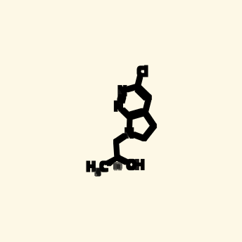 C[C@H](O)CN1CCc2cc(Cl)nnc21